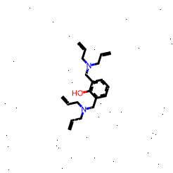 C=CCN(CC=C)Cc1cccc(CN(CC=C)CC=C)c1O